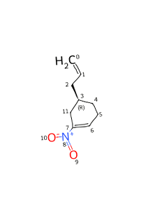 C=CC[C@H]1CCC=C([N+](=O)[O-])C1